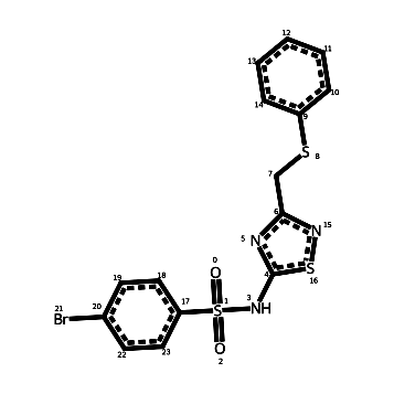 O=S(=O)(Nc1nc(CSc2ccccc2)ns1)c1ccc(Br)cc1